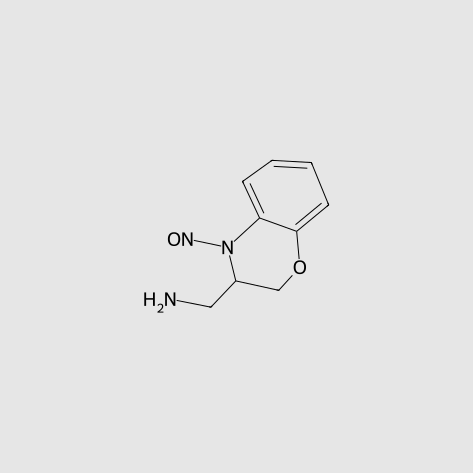 NCC1COc2ccccc2N1N=O